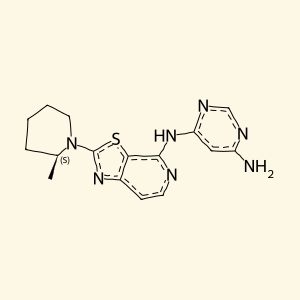 C[C@H]1CCCCN1c1nc2ccnc(Nc3cc(N)ncn3)c2s1